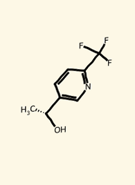 C[C@@H](O)c1ccc(C(F)(F)F)nc1